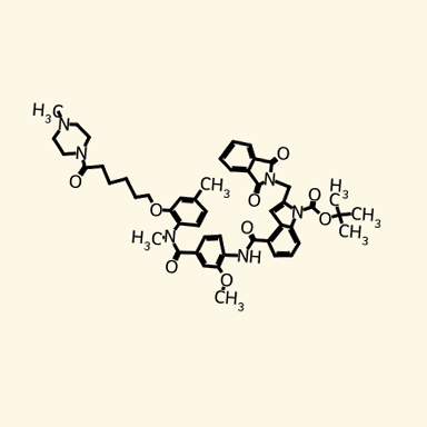 COc1cc(C(=O)N(C)c2ccc(C)cc2OCCCCCC(=O)N2CCN(C)CC2)ccc1NC(=O)c1cccc2c1cc(CN1C(=O)c3ccccc3C1=O)n2C(=O)OC(C)(C)C